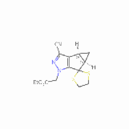 CCOC(=O)Cn1nc(C#N)c2c1C1(SCCS1)[C@@H]1C[C@H]21